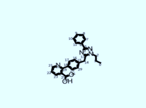 CCCn1nc(-c2ccccc2)nc1Cc1ccc(-c2ncccc2C(=O)O)cc1